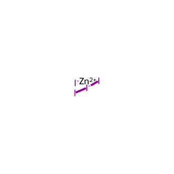 I[I-]I.[I-].[Zn+2]